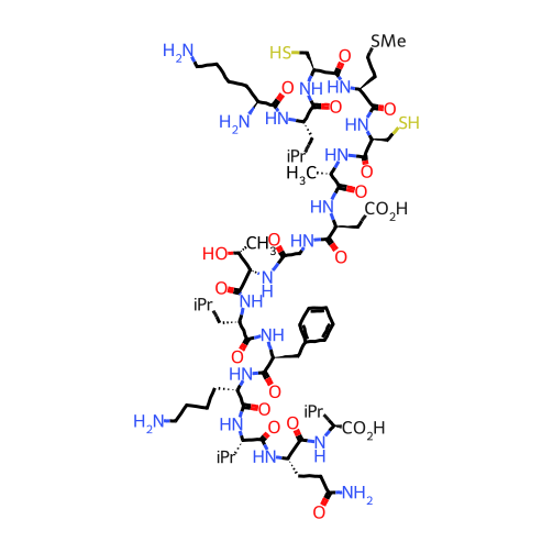 CSCC[C@H](NC(=O)[C@H](CS)NC(=O)[C@H](CC(C)C)NC(=O)[C@@H](N)CCCCN)C(=O)N[C@@H](CS)C(=O)N[C@@H](C)C(=O)N[C@@H](CC(=O)O)C(=O)NCC(=O)N[C@H](C(=O)N[C@@H](CC(C)C)C(=O)N[C@@H](Cc1ccccc1)C(=O)N[C@@H](CCCCN)C(=O)N[C@H](C(=O)N[C@@H](CCC(N)=O)C(=O)N[C@H](C(=O)O)C(C)C)C(C)C)[C@@H](C)O